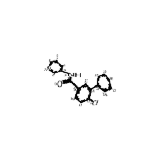 O=C(Nc1cccnc1)c1ccc(Cl)c(-c2ccccc2)c1